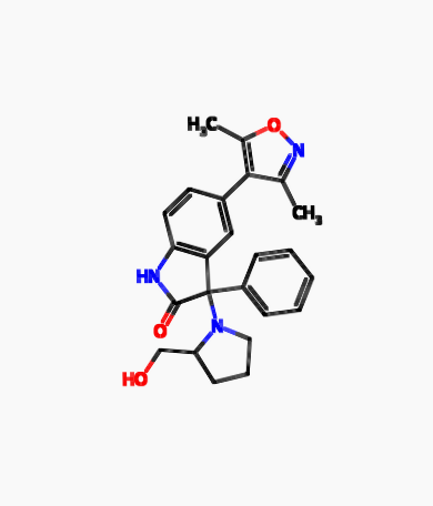 Cc1noc(C)c1-c1ccc2c(c1)C(c1ccccc1)(N1CCCC1CO)C(=O)N2